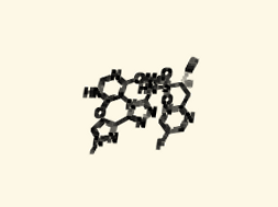 C#C[C@H](Cc1ncc(F)cn1)S(=O)(=O)Nc1nnc(-c2ccn(C)n2)n1-c1c(OC)nc[nH]c1=O